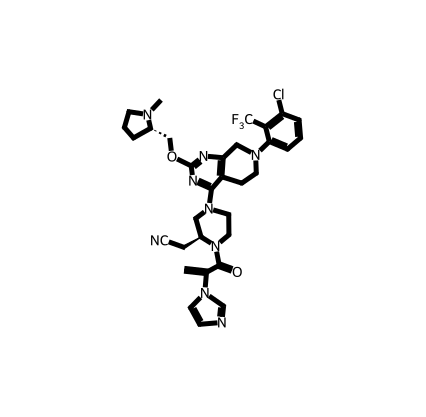 C=C(C(=O)N1CCN(c2nc(OC[C@@H]3CCCN3C)nc3c2CCN(c2cccc(Cl)c2C(F)(F)F)C3)C[C@@H]1CC#N)n1ccnc1